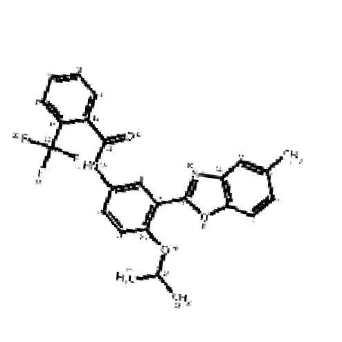 Cc1ccc2oc(-c3cc(NC(=O)c4ccccc4C(F)(F)F)ccc3OC(C)C)nc2c1